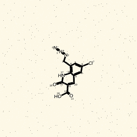 [N-]=[N+]=NCc1cc(Cl)cc2cc(C(=O)O)c(=O)[nH]c12